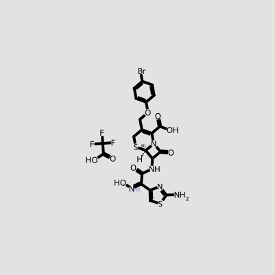 Nc1nc(/C(=N/O)C(=O)NC2C(=O)N3C(C(=O)O)=C(COc4ccc(Br)cc4)CS[C@H]23)cs1.O=C(O)C(F)(F)F